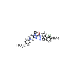 CNc1cccc(-c2cccc(NC(=O)c3nc4c(n3C)CCN(C3CCC(C(=O)O)CC3)C4)c2C)c1Cl